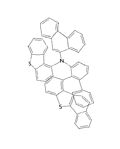 c1ccc(-c2cccc(N(c3cc4ccccc4c4ccccc34)c3cccc4sc5ccccc5c34)c2-c2cccc3sc4c5ccccc5ccc4c23)cc1